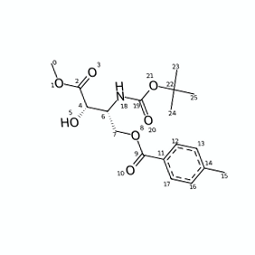 COC(=O)[C@@H](O)[C@@H](COC(=O)c1ccc(C)cc1)NC(=O)OC(C)(C)C